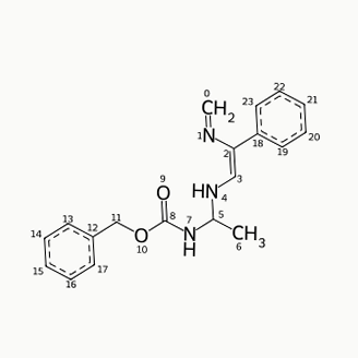 C=N/C(=C\NC(C)NC(=O)OCc1ccccc1)c1ccccc1